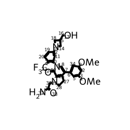 COc1cc(OC)cc(-c2cn(-c3cc(N4CC(CO)C4)ccc3C(F)(F)F)c(=O)c3c2CCN3CC(N)=O)c1